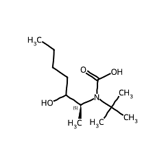 CCCCC(O)[C@H](C)N(C(=O)O)C(C)(C)C